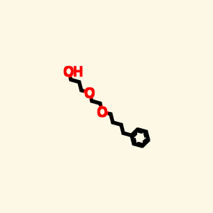 OCCCOCCOCCCCc1ccccc1